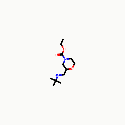 CCOC(=O)N1CCOC(CNC(C)(C)C)C1